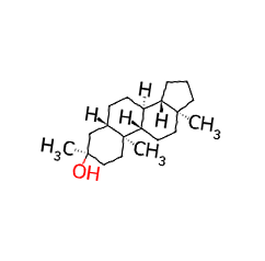 C[C@@]1(O)CC[C@@]2(C)[C@@H](CC[C@H]3[C@@H]4CCC[C@@]4(C)CC[C@@H]32)C1